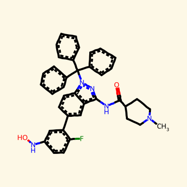 CN1CCC(C(=O)Nc2nn(C(c3ccccc3)(c3ccccc3)c3ccccc3)c3ccc(-c4cc(NO)ccc4F)cc23)CC1